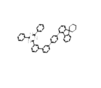 c1ccc(-c2nc(-c3ccccc3)nc(-c3cccc(-c4cccc(-c5ccc(-c6cccc7c6-c6ccccc6C76CCCCC6)cc5)c4)c3)n2)cc1